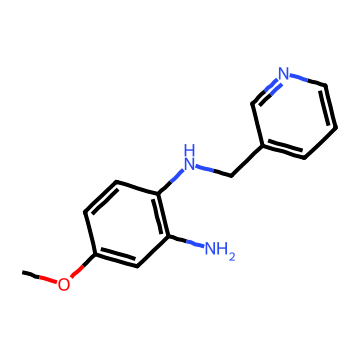 COc1ccc(NCc2cccnc2)c(N)c1